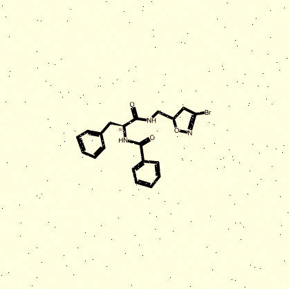 O=C(N[C@@H](Cc1ccccc1)C(=O)NCC1CC(Br)=NO1)c1ccccc1